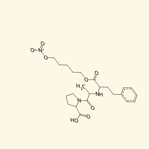 CC(NC(CCc1ccccc1)C(=O)OCCCCCO[N+](=O)[O-])C(=O)N1CCCC1C(=O)O